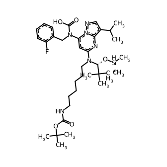 CC(C)c1cnn2c(N(Cc3ccccc3F)C(=O)O)cc(N(CCCCCCNC(=O)OC(C)(C)C)[C@H](O[SiH](C)C)C(C)(C)C)nc12